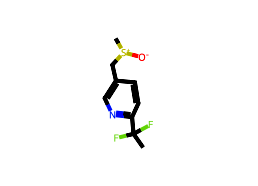 C[S+]([O-])Cc1ccc(C(C)(F)F)nc1